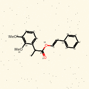 COc1cccc(C(C)C(=O)OC=Cc2ccccc2)c1OC